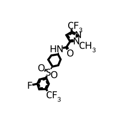 Cn1nc(C(F)(F)F)cc1C(=O)N[C@H]1CC[C@H](S(=O)(=O)c2cc(F)cc(C(F)(F)F)c2)CC1